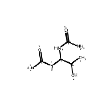 CC(O)C(NC(N)=O)NC(N)=O